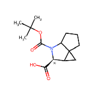 CC(C)(C)OC(=O)N1C2CCCC23CC3[C@H]1C(=O)O